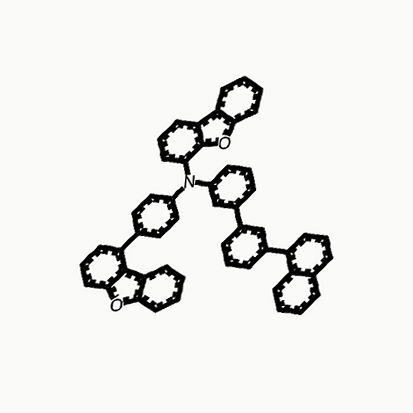 c1cc(-c2cccc(N(c3ccc(-c4cccc5oc6ccccc6c45)cc3)c3cccc4c3oc3ccccc34)c2)cc(-c2cccc3ccccc23)c1